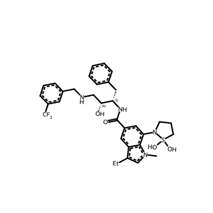 CCc1cn(C)c2c(N3CCCS3(O)O)cc(C(=O)N[C@@H](Cc3ccccc3)[C@H](O)CNCc3cccc(C(F)(F)F)c3)cc12